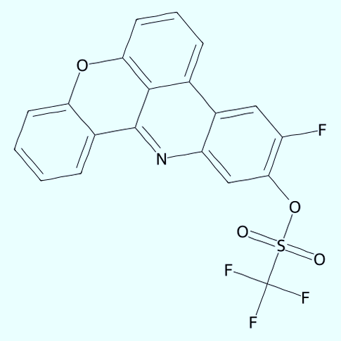 O=S(=O)(Oc1cc2nc3c4c(cccc4c2cc1F)Oc1ccccc1-3)C(F)(F)F